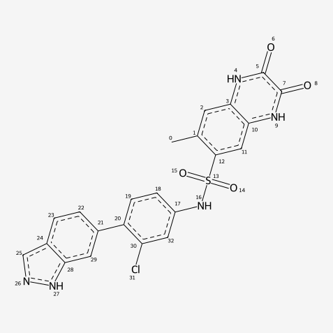 Cc1cc2[nH]c(=O)c(=O)[nH]c2cc1S(=O)(=O)Nc1ccc(-c2ccc3cn[nH]c3c2)c(Cl)c1